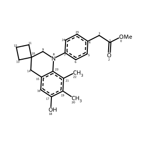 COC(=O)Cc1ccc(N2CC3(CCC3)Cc3cc(O)c(C)c(C)c32)cc1